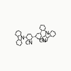 N#Cc1cc(-c2ccc(-n3c4ccccc4c4ccccc43)c(C#N)c2)cc(-c2ccccc2-n2c3ccccc3c3ccccc32)c1